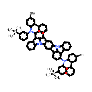 CC(C)(C)c1ccc(N(c2cccc([Si](C)(C)C)c2)c2ccc3c4cc5c(cc4n4c6ccccc6c2c34)c2ccc(N(c3cccc([Si](C)(C)C)c3)c3ccc(C(C)(C)C)cc3-c3ccccc3)c3c4ccccc4n5c23)c(-c2ccccc2)c1